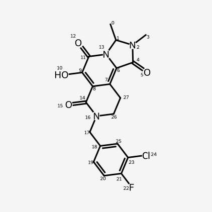 CC1N(C)C(=O)c2c3c(c(O)c(=O)n21)C(=O)N(Cc1ccc(F)c(Cl)c1)CC3